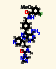 COc1ccc(F)cc1C(=O)NCc1ccc(-c2nn(C3(CCCN(C)C(=O)n4cncn4)C=CN=CC3)c3ncnc(N)c23)cc1